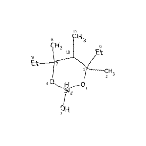 CCC1(C)O[SiH](O)OC(C)(CC)C1C